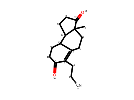 CC12CCC3=C(CCC#N)C(=O)CCC3C1CCC2=O